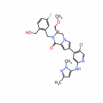 COC[C@H]1Cn2cc(-c3cc(Nc4cc(C)nn4C)ncc3Cl)cc2C(=O)N1Cc1cc(F)ccc1CO